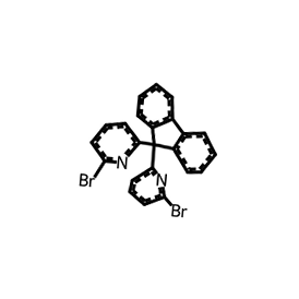 Brc1cccc(C2(c3cccc(Br)n3)c3ccccc3-c3ccccc32)n1